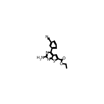 CCOC(=O)c1cc2c(-c3cccc(C#N)c3)nc(N)nc2s1